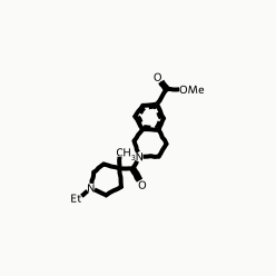 CCN1CCC(C)(C(=O)N2CCc3cc(C(=O)OC)ccc3C2)CC1